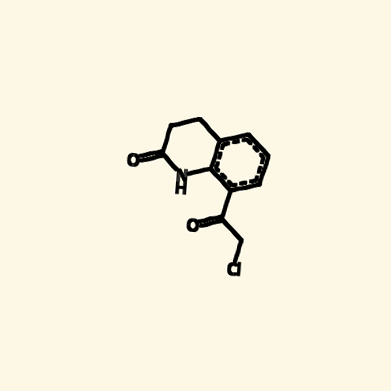 O=C1CCc2cccc(C(=O)CCl)c2N1